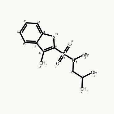 CCCN(CC(C)O)S(=O)(=O)c1sc2ccccc2c1C